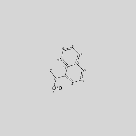 CC(C=O)c1cccc2cccnc12